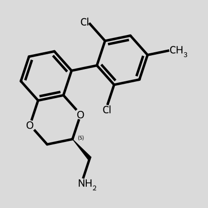 Cc1cc(Cl)c(-c2cccc3c2O[C@@H](CN)CO3)c(Cl)c1